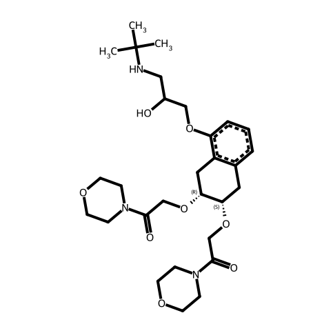 CC(C)(C)NCC(O)COc1cccc2c1C[C@@H](OCC(=O)N1CCOCC1)[C@@H](OCC(=O)N1CCOCC1)C2